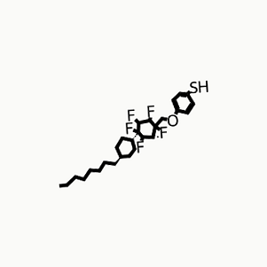 CCCCCCCC[C@H]1CC[C@H](C2(F)C(F)[CH]C(F)(COc3ccc(S)cc3)C(F)C2F)CC1